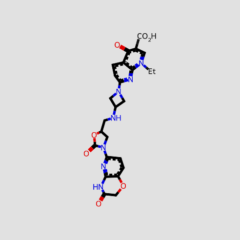 CCn1cc(C(=O)O)c(=O)c2ccc(N3CC(NCC4CN(c5ccc6c(n5)NC(=O)CO6)C(=O)O4)C3)nc21